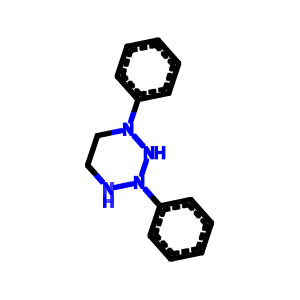 c1ccc(N2CCNN(c3ccccc3)N2)cc1